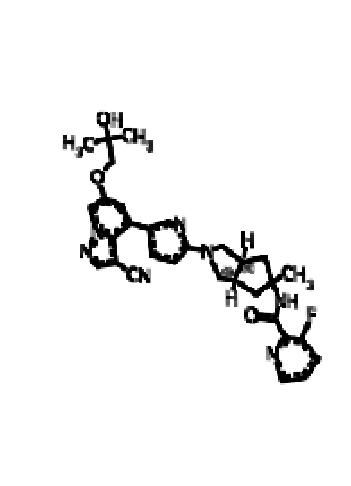 CC(C)(O)COc1cc(-c2ccc(N3C[C@@H]4CC(C)(NC(=O)c5ncccc5F)C[C@@H]4C3)nc2)c2c(C#N)cnn2c1